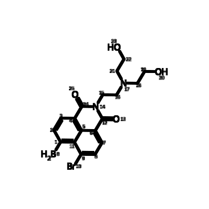 Bc1ccc2c3c(ccc(Br)c13)C(=O)N(CCN(CCO)CCO)C2=O